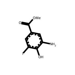 COC(=O)c1cc(N)c(O)c(I)c1